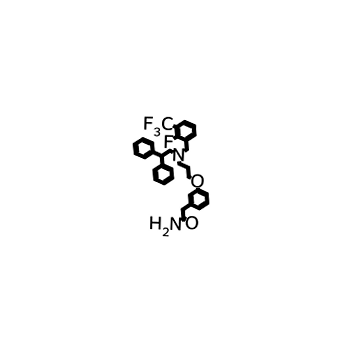 NC(=O)Cc1cccc(OCCCN(Cc2cccc(C(F)(F)F)c2F)CC(c2ccccc2)c2ccccc2)c1